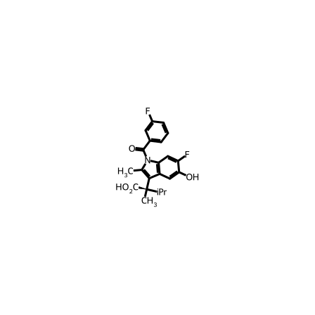 Cc1c([C@](C)(C(=O)O)C(C)C)c2cc(O)c(F)cc2n1C(=O)c1cccc(F)c1